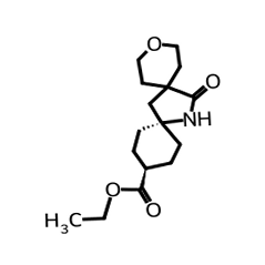 CCOC(=O)[C@H]1CC[C@]2(CC1)CC1(CCOCC1)C(=O)N2